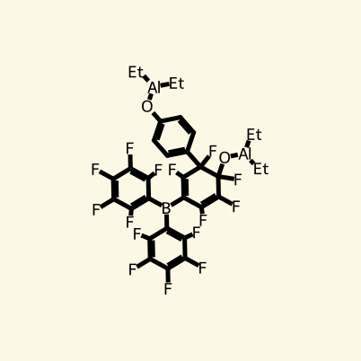 C[CH2][Al]([CH2]C)[O]c1ccc(C2(F)C(F)=C(B(c3c(F)c(F)c(F)c(F)c3F)c3c(F)c(F)c(F)c(F)c3F)C(F)=C(F)C2(F)[O][Al]([CH2]C)[CH2]C)cc1